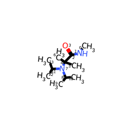 CNC(=O)C(C)(C)N(C(C)C)C(C)C